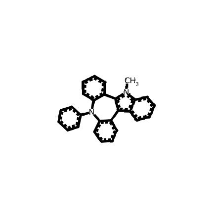 Cn1c2c(c3ccccc31)-c1ccccc1N(c1ccccc1)c1ccccc1-2